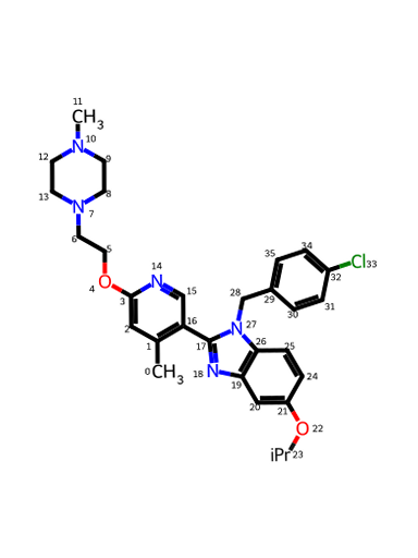 Cc1cc(OCCN2CCN(C)CC2)ncc1-c1nc2cc(OC(C)C)ccc2n1Cc1ccc(Cl)cc1